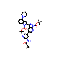 CC(C)(C)OC(=O)n1nc(-c2cc3c(N4CCCCC4)cccc3n2C(=O)OC(C)(C)C)c2cc(-c3cncc(NC(=O)C4CC4)c3)cnc21